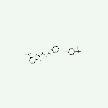 O=C(Nc1nc2cc(OCc3ccc(C(F)(F)F)cc3)ccc2[nH]1)c1cn2c(C(F)(F)F)cccc2n1